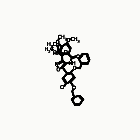 CCNC(=O)c1noc(-c2cc(Cl)c(OCc3ccccc3)cc2OCc2ccccc2)c1NC(=O)c1cc(OC)c(OC)c(OC)c1